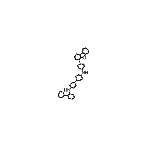 c1ccc(-c2ccccc2Nc2ccc(-c3ccc(Nc4ccc(-c5cccc6c5oc5ccccc56)cc4)cc3)cc2)cc1